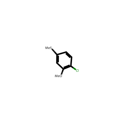 COc1cc(SC)ccc1Cl